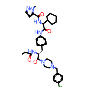 CCC(=O)N[C@H](Cc1ccc(NC(=O)[C@@H](NC(=O)c2ccnn2C)C2CCCCC2)cc1)C(=O)N1CCN(Cc2ccc(Cl)cc2)CC1